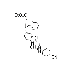 CCOC(=O)CCN(Cc1ccc2c(c1)nc(CNc1ccc(C#N)cc1)n2C)c1ccccn1